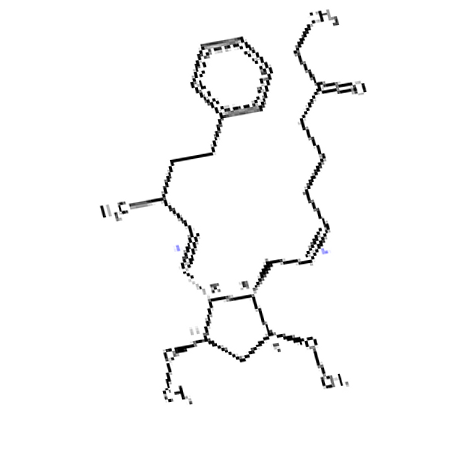 CCC(=O)CCC/C=C\C[C@@H]1[C@@H](/C=C/C(C)CCc2ccccc2)[C@H](OC)C[C@@H]1OC